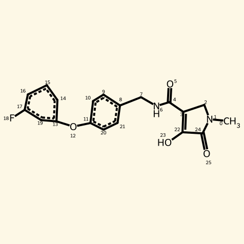 CN1CC(C(=O)NCc2ccc(Oc3cccc(F)c3)cc2)=C(O)C1=O